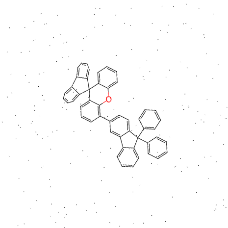 c1ccc(C2(c3ccccc3)c3ccccc3-c3cc(-c4cccc5c4Oc4ccccc4C54c5ccccc5-c5ccccc54)ccc32)cc1